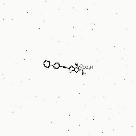 CCC(C(=O)O)N1Cc2sc(C#Cc3ccc(-c4ccccc4)cc3)cc2S1(=O)=O